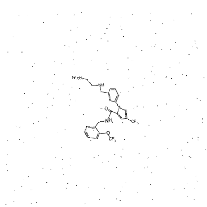 CNCCNCc1cccc(-n2nc(C(F)(F)F)cc2C(=O)NCc2ccccc2OC(F)(F)F)c1